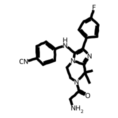 [C-]#[N+]c1ccc(Nc2c(-c3ccc(F)cc3)nc3n2CCN(C(=O)CN)C3(C)C)cc1